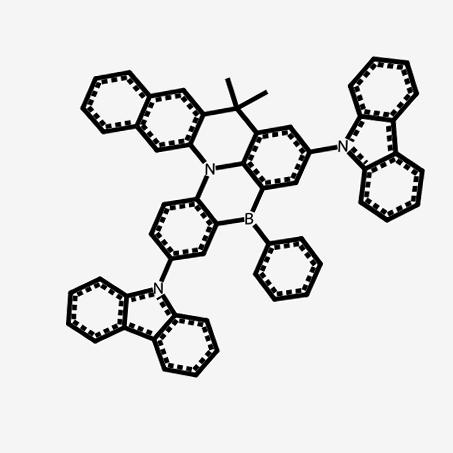 CC1(C)c2cc3ccccc3cc2N2c3ccc(-n4c5ccccc5c5ccccc54)cc3B(c3ccccc3)c3cc(-n4c5ccccc5c5ccccc54)cc1c32